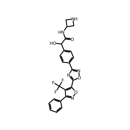 O=C(NC1CNC1)C(O)c1ccc(-c2noc(-c3onc(-c4ccccc4)c3C(F)(F)F)n2)cc1